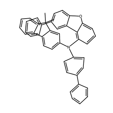 CC1(C)c2ccccc2-c2ccc(N(c3ccc(-c4ccccc4)cc3)c3cccc4oc5ccc(-c6ccccc6)cc5c34)cc21